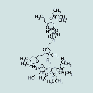 C=CCC1O[C@@H]2C3O[C@@H]4C[C@](CCC5CC(C)(C)C(CCC6CC(C)C(C)(C)C(C[C@@H]7O[C@H](CC(CO[Si](CC)(CC)CC)O[Si](CC)(CC)CC)[C@H](OC)C7CCO)O6)O5)(OC3C1O[Si](CC)(CC)CC)OC24